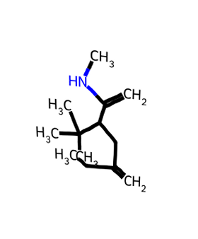 C=C(CC)CC(C(=C)NC)C(C)(C)C